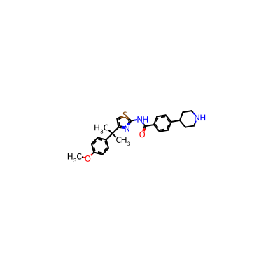 COc1ccc(C(C)(C)c2csc(NC(=O)c3ccc(C4CCNCC4)cc3)n2)cc1